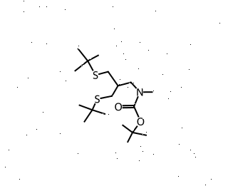 CN(CC(CSC(C)(C)C)CSC(C)(C)C)C(=O)OC(C)(C)C